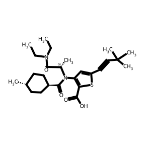 CCN(CC)C(=O)[C@H](C)N(c1cc(C#CC(C)(C)C)sc1C(=O)O)C(=O)[C@H]1CC[C@H](C)CC1